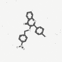 Cc1ccc(-c2oc3ccccc3c(=O)c2OCc2ccc([N+](=O)[O-])cc2)cc1